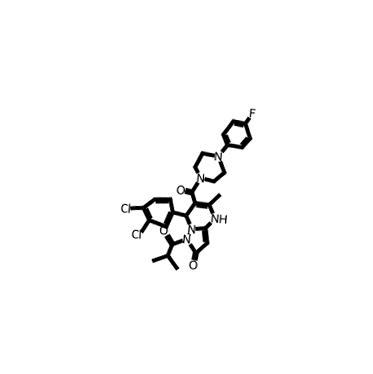 CC1=C(C(=O)N2CCN(c3ccc(F)cc3)CC2)C(c2ccc(Cl)c(Cl)c2)n2c(cc(=O)n2C(=O)C(C)C)N1